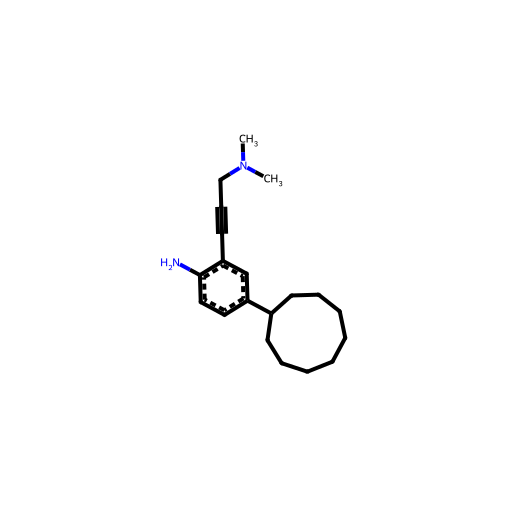 CN(C)CC#Cc1cc(C2CCCCCCCC2)ccc1N